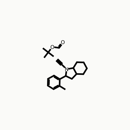 C#CN1C(c2ccccc2C)CC2CCCCC21.CC(C)(C)OC=O